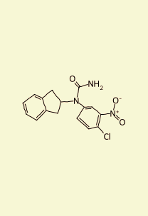 NC(=O)N(c1ccc(Cl)c([N+](=O)[O-])c1)C1Cc2ccccc2C1